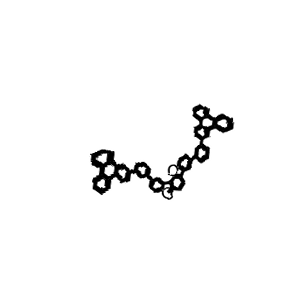 c1cc(-c2ccc3oc4c(ccc5oc6ccc(-c7cccc(-c8ccc9c%10ccccc%10c%10ccccc%10c9c8)c7)cc6c54)c3c2)cc(-c2ccc3c4ccccc4c4ccccc4c3c2)c1